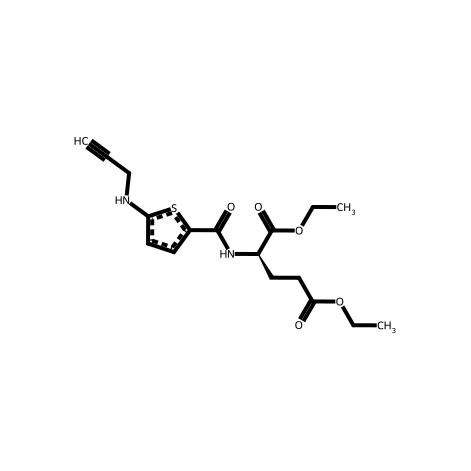 C#CCNc1ccc(C(=O)N[C@H](CCC(=O)OCC)C(=O)OCC)s1